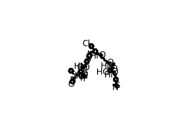 Cc1ncsc1-c1ccc([C@H](C)NC(=O)[C@@H]2C[C@@H](O)CN2C(=O)[C@@H](NC(=O)CCCCCC(=O)NCC2(C)CCC(c3ccc(Cl)cc3)=C(CN3CCN(c4ccc(C(=O)NS(=O)(=O)c5ccc(N[C@H](CCN6CCOCC6)CSc6ccccc6)c(S(=O)(=O)C(F)(F)F)c5)cc4)CC3)C2)C(C)(C)C)cc1